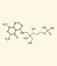 Cn1nc(N)c(=O)c2c(NCC(O)(CO)[C@H](O)CCOP(=O)(O)O)ncnc21